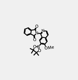 COc1cc2ccnc(N3C(=O)c4ccccc4C3=O)c2cc1B1OC(C)(C)C(C)(C)O1